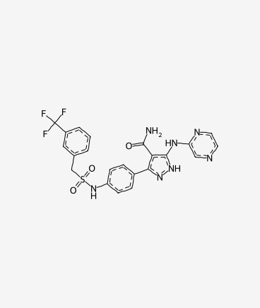 NC(=O)c1c(-c2ccc(NS(=O)(=O)Cc3cccc(C(F)(F)F)c3)cc2)n[nH]c1Nc1cnccn1